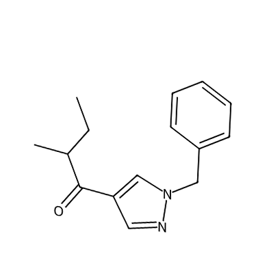 CCC(C)C(=O)c1cnn(Cc2ccccc2)c1